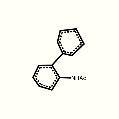 CC(=O)Nc1ccc[c]c1-c1ccccc1